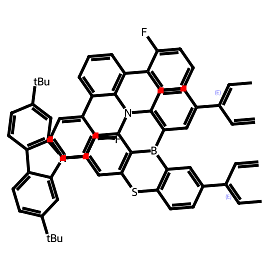 C=C/C(=C\C)c1ccc2c(c1)B1c3cc(/C(C=C)=C/C)ccc3N(c3c(-c4ccccc4F)cccc3-c3ccccc3F)c3cc(-n4c5cc(C(C)(C)C)ccc5c5ccc(C(C)(C)C)cc54)cc(c31)S2